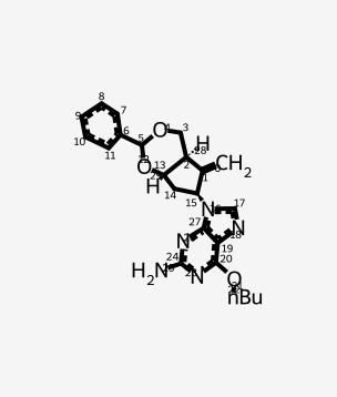 C=C1[C@@H]2COC(c3ccccc3)O[C@H]2C[C@@H]1n1cnc2c(OCCCC)nc(N)nc21